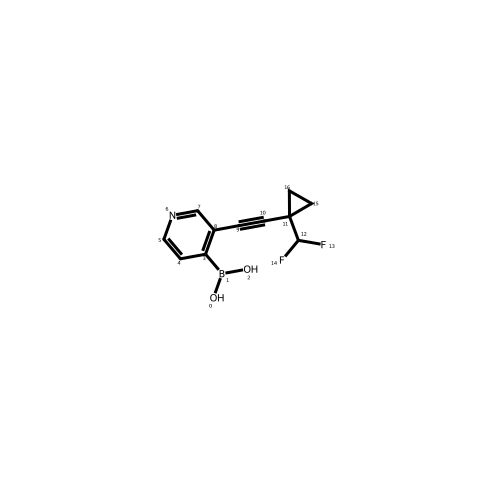 OB(O)c1ccncc1C#CC1(C(F)F)CC1